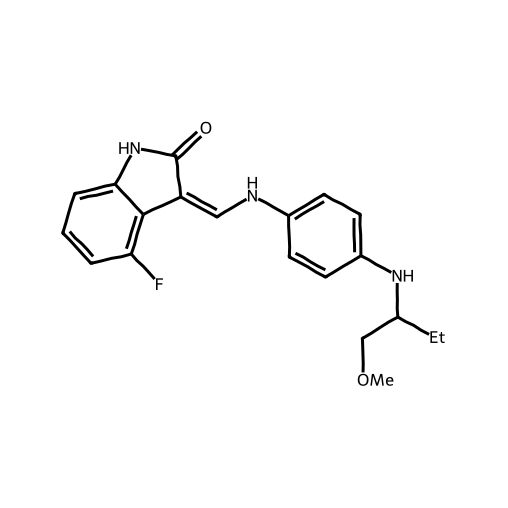 CCC(COC)Nc1ccc(NC=C2C(=O)Nc3cccc(F)c32)cc1